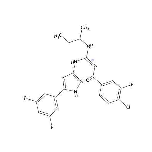 CCC(C)N/C(=N/C(=O)c1ccc(Cl)c(F)c1)Nc1cc(-c2cc(F)cc(F)c2)[nH]n1